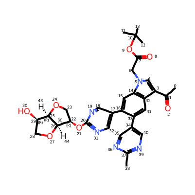 CC(=O)c1cn(CC(=O)OC(C)(C)C)c2cc(-c3cnc(O[C@@H]4CO[C@H]5[C@@H]4OC[C@H]5O)nc3)c(-c3cnc(C)nc3)cc12